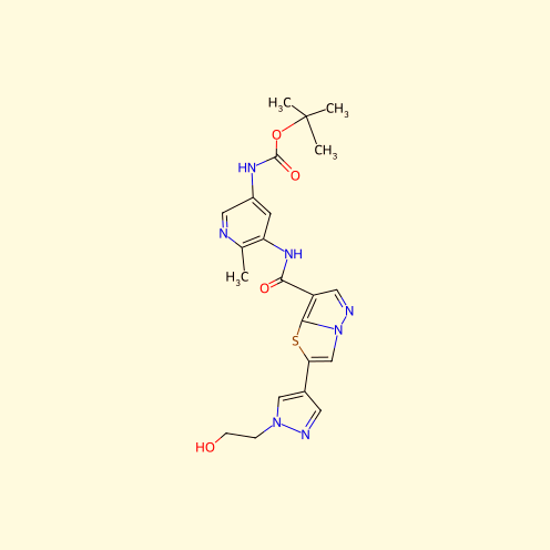 Cc1ncc(NC(=O)OC(C)(C)C)cc1NC(=O)c1cnn2cc(-c3cnn(CCO)c3)sc12